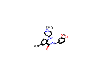 O=CN1CCC(Nc2ccc([N+](=O)[O-])cc2C(=O)NCc2ccc3c(c2)OCO3)CC1